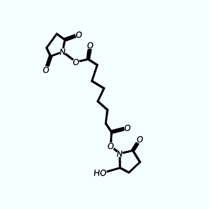 O=C(CCCCCCC(=O)ON1C(=O)CCC1O)ON1C(=O)CCC1=O